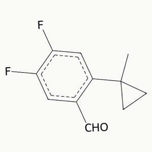 CC1(c2cc(F)c(F)cc2C=O)CC1